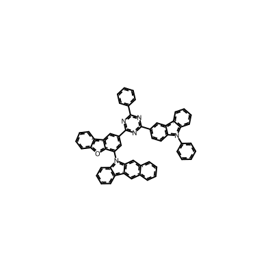 c1ccc(-c2nc(-c3cc(-n4c5ccccc5c5cc6ccccc6cc54)c4oc5ccccc5c4c3)nc(-c3ccc4c(c3)c3ccccc3n4-c3ccccc3)n2)cc1